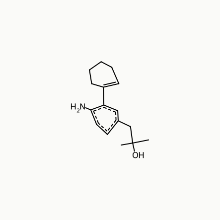 CC(C)(O)Cc1ccc(N)c(C2=CCCCC2)c1